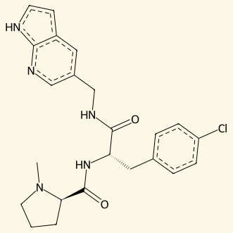 CN1CCC[C@@H]1C(=O)N[C@@H](Cc1ccc(Cl)cc1)C(=O)NCc1cnc2[nH]ccc2c1